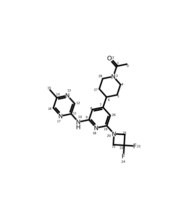 CC(=O)N1CCC(c2cc(Nc3cnc(C)cn3)nc(N3CC(F)(F)C3)c2)CC1